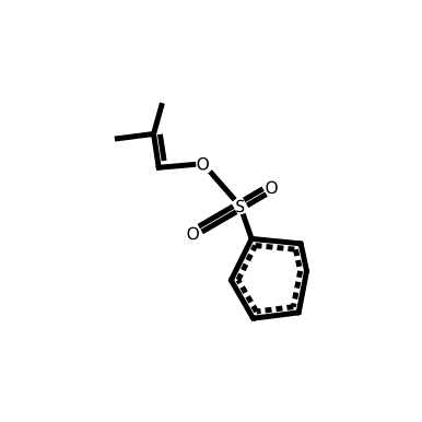 CC(C)=COS(=O)(=O)c1ccccc1